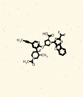 CC#Cc1cnc(O[C@H]2C[C@@H](C(=O)O)N(c3nc(C(F)F)nc4c3oc3ccccc34)C2)c([C@@]2(F)CCN(C(C)=O)C[C@@H]2C)c1